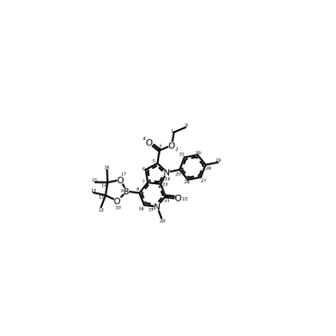 CCOC(=O)c1cc2c(B3OC(C)(C)C(C)(C)O3)cn(C)c(=O)c2n1-c1ccc(C)cc1